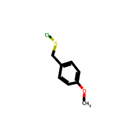 COc1ccc(C[1S]Cl)cc1